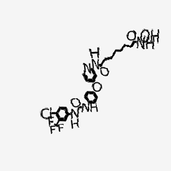 O=C(CCCCCCC(=O)Nc1cc(Oc2ccc(NC(=O)Nc3ccc(Cl)c(C(F)(F)F)c3)cc2)ccn1)NO